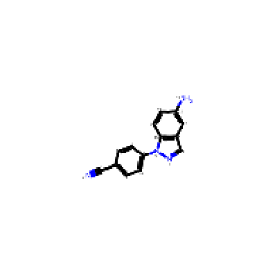 N#Cc1ccc(-n2ncc3cc(N)ccc32)cc1